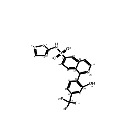 O=S(=O)(Nc1ncns1)c1ccc2c(-c3ccc(C(F)(F)F)cc3O)nccc2c1